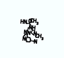 CO/C(C=N)=C/NCc1nc2cnc3ccc(C#N)cc3c2n1[C@@H]1CCN(C)C1